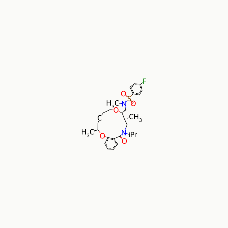 CC(C)N1C[C@@H](C)[C@H](CN(C)S(=O)(=O)c2ccc(F)cc2)OCCCC[C@H](C)Oc2ccccc2C1=O